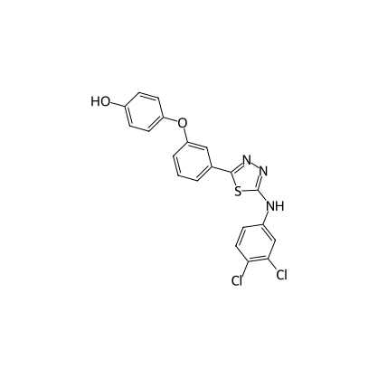 Oc1ccc(Oc2cccc(-c3nnc(Nc4ccc(Cl)c(Cl)c4)s3)c2)cc1